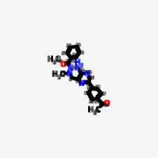 CO/C(=N\N(C)Cc1nc(-c2ccc(C(C)=O)cc2)cnc1N)c1ccccc1